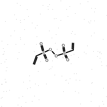 C=CS(=O)(=O)OOS(=O)(=O)C=C